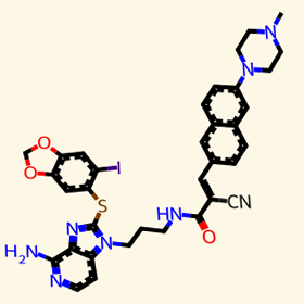 CN1CCN(c2ccc3cc(/C=C(\C#N)C(=O)NCCCn4c(Sc5cc6c(cc5I)OCO6)nc5c(N)nccc54)ccc3c2)CC1